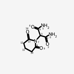 NC(=O)C(C(N)=O)N1C(=O)CCCC1=O